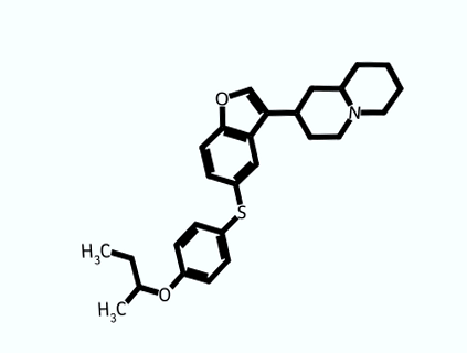 CCC(C)Oc1ccc(Sc2ccc3occ(C4CCN5CCCCC5C4)c3c2)cc1